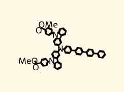 COC(=O)c1ccc(-n2c3ccccc3c3cc(N(c4ccc(-c5ccc(-c6ccc(-c7ccccc7)cc6)cc5)cc4)c4ccc5c(c4)c4ccccc4n5-c4ccc(C(=O)OC)cc4)ccc32)cc1